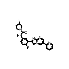 O=C(Nc1ccc(F)c(-c2cn3cc(-c4ccccn4)cnc3n2)c1)N1CC[C@@H](F)C1